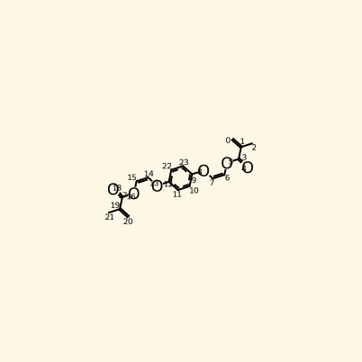 C=C(C)C(=O)O/C=C\Oc1ccc(O/C=C\OC(=O)C(=C)C)cc1